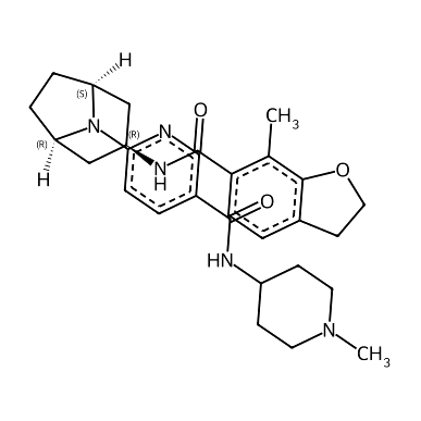 Cc1c(C(=O)N[C@H]2C[C@H]3CC[C@@H](C2)N3c2ccc(C(=O)NC3CCN(C)CC3)cn2)ccc2c1OCC2